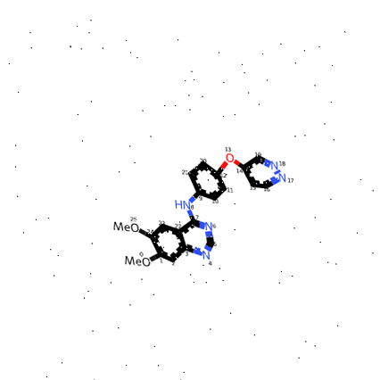 COc1cc2ncnc(Nc3ccc(Oc4ccnnc4)cc3)c2cc1OC